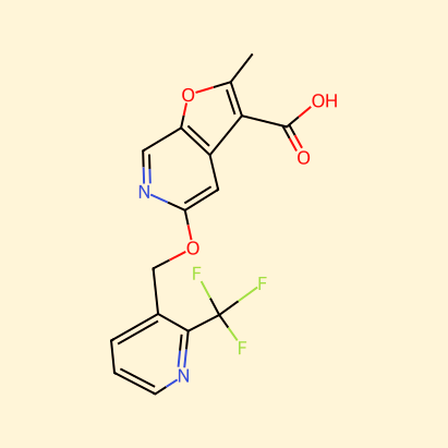 Cc1oc2cnc(OCc3cccnc3C(F)(F)F)cc2c1C(=O)O